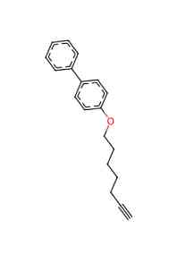 C#CCCCCCOc1ccc(-c2ccccc2)cc1